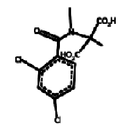 CN(C(=O)c1ccc(Cl)cc1Cl)C(C)(C(=O)O)C(=O)O